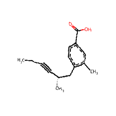 CCC#C[C@@H](C)Cc1ccc(C(=O)O)cc1C